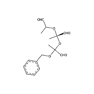 C[C](C=O)O[C@](C)(C=O)OC(C)(C=O)OCc1ccccc1